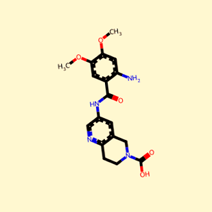 COc1cc(N)c(C(=O)Nc2cnc3c(c2)CN(C(=O)O)CC3)cc1OC